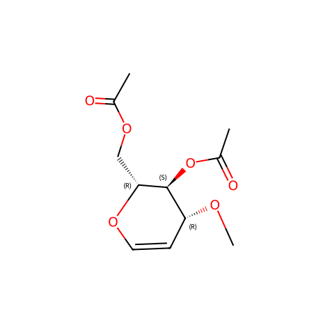 CO[C@@H]1C=CO[C@H](COC(C)=O)[C@H]1OC(C)=O